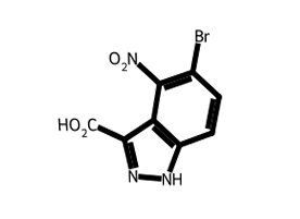 O=C(O)c1n[nH]c2ccc(Br)c([N+](=O)[O-])c12